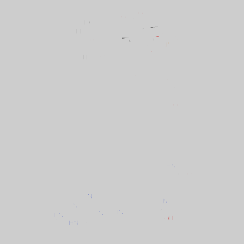 COc1cc([C@@H]2c3cc4c(cc3[C@H](OP(=O)(O)OCCOCCOCCOCCCNC(=O)CCC(NC(=O)c3ccc(NCc5cnc6nc(N)[nH]c(=O)c6n5)cc3)C(=O)O)[C@H]3COC(=O)C23)OCO4)cc(OC)c1OC